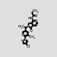 CCC(=O)Nc1nccc2c1CN(C(C)c1cnc(-n3cc(Cl)cn3)c(C)c1)C2=O